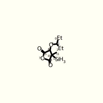 CCC(CC)OC1C(=O)OC(=O)C1(C)[SiH3]